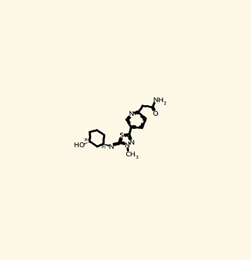 Cn1nc(-c2ccc(CC(N)=O)nc2)sc1=N[C@@H]1CCC[C@@H](O)C1